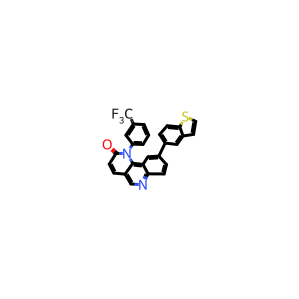 O=c1ccc2cnc3ccc(-c4ccc5sccc5c4)cc3c2n1-c1cccc(C(F)(F)F)c1